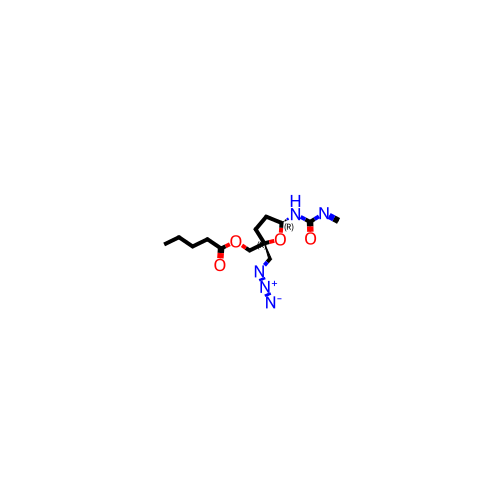 C=NC(=O)N[C@H]1CC[C@@](CN=[N+]=[N-])(COC(=O)CCCC)O1